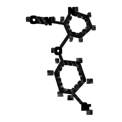 [C-]#[N+]c1ncccc1Oc1ccc(Br)cc1